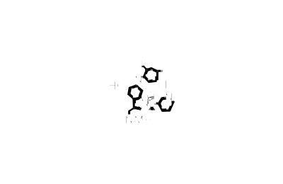 CNCc1cn(S(=O)(=O)c2cccnc2)c2cc(Nc3cc(Cl)c(Cl)cc3Cl)ccc12.Cl